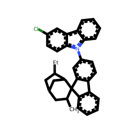 CCC1CC2CC(C)C3(c4ccccc4-c4ccc(-n5c6ccccc6c6cc(Cl)ccc65)cc43)C1C2